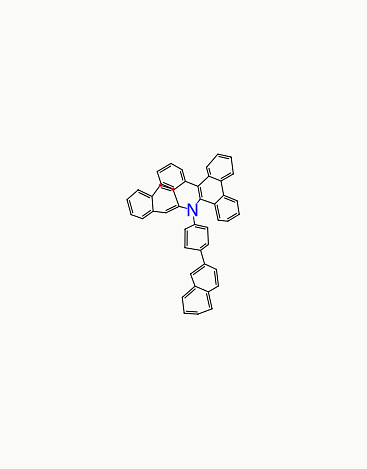 c1ccc(-c2c(N(c3ccc(-c4ccc5ccccc5c4)cc3)c3ccc4ccccc4c3)c3ccccc3c3ccccc23)cc1